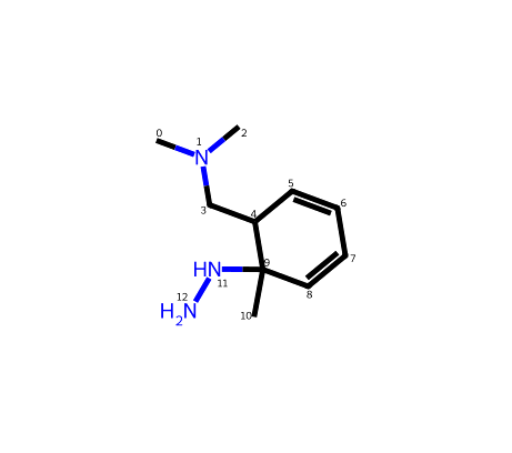 CN(C)CC1C=CC=CC1(C)NN